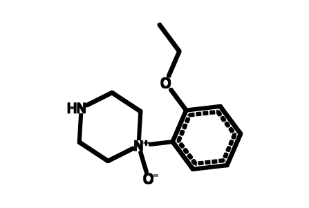 CCOc1ccccc1[N+]1([O-])CCNCC1